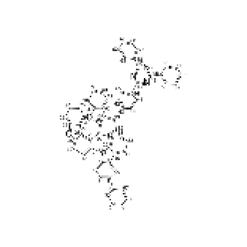 c1ccc(-c2ccc3c(c2)c2ccccc2n3-c2ccc3oc4ccccc4c3c2-c2cccc3c2oc2cccc(-c4cccc(-c5nc(-c6ccccc6)nc(-c6ccccc6)n5)c4)c23)cc1